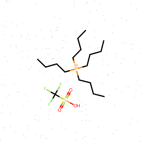 CCCC[PH](CCCC)(CCCC)CCCC.O=S(=O)(O)C(F)(F)F